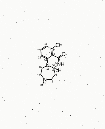 CN1CC[C@H]2NC(=O)c3c(Cl)cccc3N2CC1